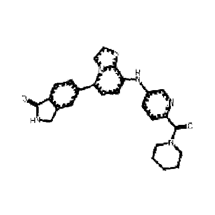 O=C1NCc2cc(-c3ccc(Nc4ccc(C(=O)N5CCCCC5)nc4)c4nccn34)ccc21